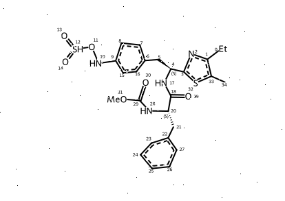 CCc1nc([C@H](Cc2ccc(NO[SH](=O)=O)cc2)NC(=O)[C@H](Cc2ccccc2)NC(=O)OC)sc1C